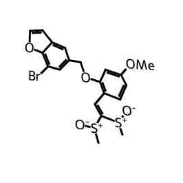 COc1ccc(C=C([S+](C)[O-])[S+](C)[O-])c(OCc2cc(Br)c3occc3c2)c1